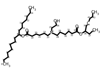 CCCCCCCCC(CCCCCCC)OC(=O)CCCCCN(CCO)CCCCCC(=O)OC(CC)CCCCC